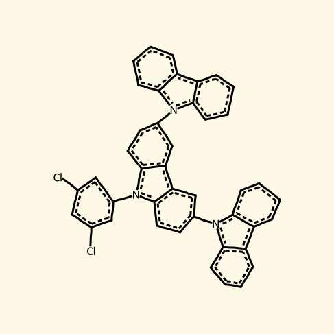 Clc1cc(Cl)cc(-n2c3ccc(-n4c5ccccc5c5ccccc54)cc3c3cc(-n4c5ccccc5c5ccccc54)ccc32)c1